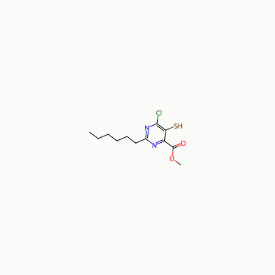 CCCCCCc1nc(Cl)c(S)c(C(=O)OC)n1